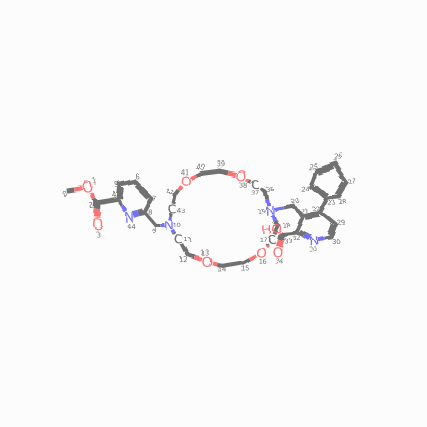 COC(=O)c1cccc(CN2CCOCCOCCN(Cc3c(-c4ccccc4)ccnc3C(=O)O)CCOCCOCC2)n1